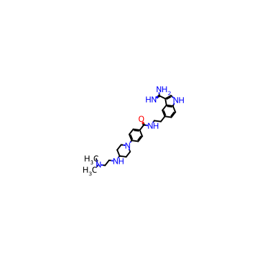 CN(C)CCNC1CCN(c2ccc(C(=O)NCCc3ccc4[nH]cc(C(=N)N)c4c3)cc2)CC1